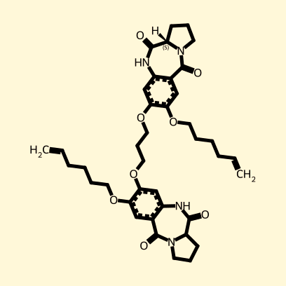 C=CCCCCOc1cc2c(cc1OCCCOc1cc3c(cc1OCCCCC=C)C(=O)N1CCC[C@H]1C(=O)N3)NC(=O)C1CCCN1C2=O